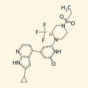 CCS(=O)(=O)N1CCN(c2cc(-c3ccnc4[nH]c(C5CC5)cc34)cc(=O)[nH]2)[C@H](C(F)(F)F)C1